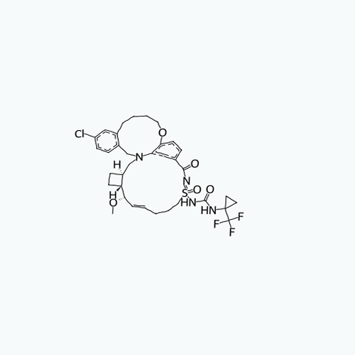 CO[C@H]1/C=C/CCCS(=O)(NC(=O)NC2(C(F)(F)F)CC2)=NC(=O)c2ccc3c(c2)N(Cc2ccc(Cl)cc2CCCCO3)C[C@@H]2CC[C@H]21